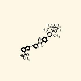 CNC(=O)c1cccc2cc(Oc3ccnc(NC(=O)c4ccc(N5C[C@@H](C)N(C(=O)OC(C)(C)C)[C@@H](C)C5)cc4F)c3)ccc12